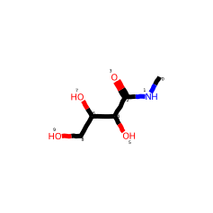 CNC(=O)C(O)C(O)CO